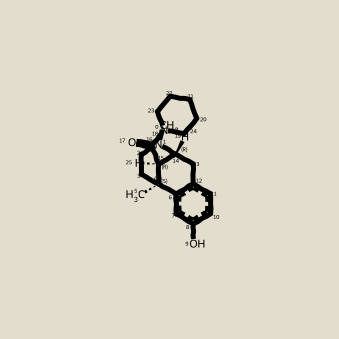 CN1CC[C@]2(C)c3cc(O)ccc3C[C@@H]1[C@@H]2C(=O)N1CCCCC1